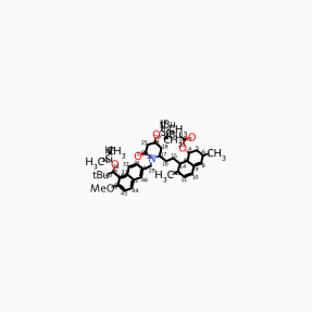 CCC(C)C(=O)OC1CC(C)C=C2C=CC(C)C(CCC3CC(O[Si](C)(C)C(C)(C)C)CC(=O)N3Cc3ccc4c(C(O[SiH](C)C)C(C)(C)C)c(OC)ccc4c3)C21